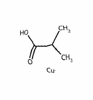 CC(C)C(=O)O.[Cu]